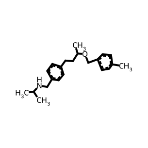 Cc1ccc(COC(C)CCc2ccc(CNC(C)C)cc2)cc1